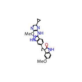 COc1ccc2c(c1)[C@]1(C[C@H]1c1ccc3c(Nc4nc(C5CC5)cnc4OC)n[nH]c3c1)C(=O)N2